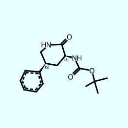 CC(C)(C)OC(=O)N[C@H]1C[C@@H](c2ccccc2)CNC1=O